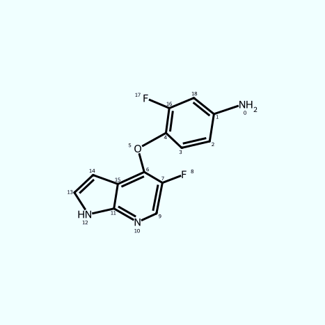 Nc1ccc(Oc2c(F)cnc3[nH]ccc23)c(F)c1